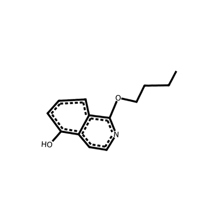 CCCCOc1nccc2c(O)cccc12